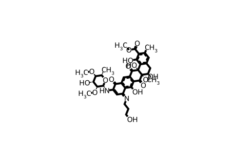 COC(=O)c1c(C)cc2c(c1O)[C@]1(O)C(=O)c3cc4c(c(O)c3C(=O)[C@]1(OC)[C@H](O)C2)/C(=N/CCCO)C=C(N[C@H]1O[C@@H](C)[C@H](OC)[C@@H](O)[C@H]1OC)C4=O